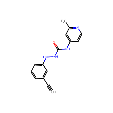 C#Cc1cccc(NNC(=O)Nc2ccnc(C(F)(F)F)c2)c1